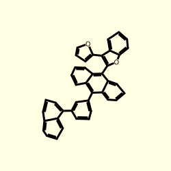 c1cc(-c2cccc3ccccc23)cc(-c2c3ccccc3c(-c3oc4ccccc4c3-c3ccco3)c3ccccc23)c1